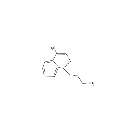 [CH2]CCCc1ccc(C)c2ccccc12